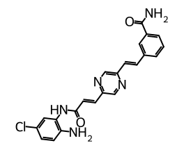 NC(=O)c1cccc(/C=C/c2cnc(/C=C/C(=O)Nc3cc(Cl)ccc3N)cn2)c1